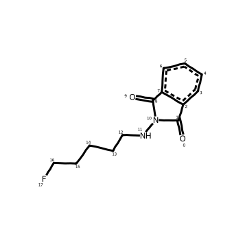 O=C1c2ccccc2C(=O)N1NCCCCCF